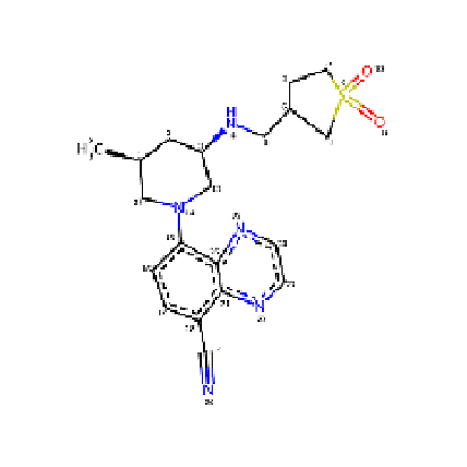 C[C@H]1C[C@@H](NCC2CCS(=O)(=O)C2)CN(c2ccc(C#N)c3nccnc23)C1